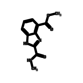 CNC(=O)c1nc2c(C(=O)OC)cccc2[nH]1